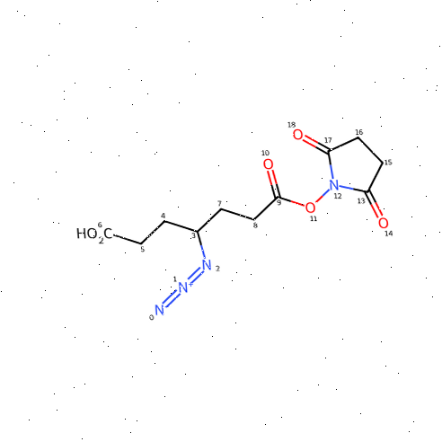 [N-]=[N+]=NC(CCC(=O)O)CCC(=O)ON1C(=O)CCC1=O